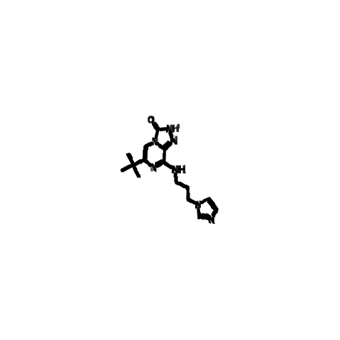 CC(C)(C)c1cn2c(=O)[nH]nc2c(NCCCn2ccnc2)n1